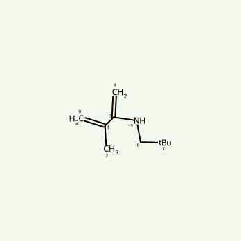 C=C(C)C(=C)NCC(C)(C)C